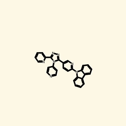 c1ccc(-c2nnc(-c3ccc(-n4c5ccccc5c5ccccc54)nc3)n2-c2ccncc2)nc1